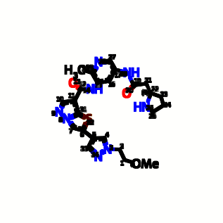 COCCn1cc(-c2cn3ncc(C(=O)Nc4cc(NC(=O)C[C@H]5CCCN5)cnc4C)c3s2)cn1